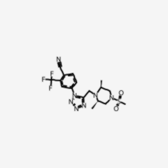 C[C@@H]1CN(S(C)(=O)=O)C[C@H](C)N1Cc1nnnn1-c1ccc(C#N)c(C(F)(F)F)c1